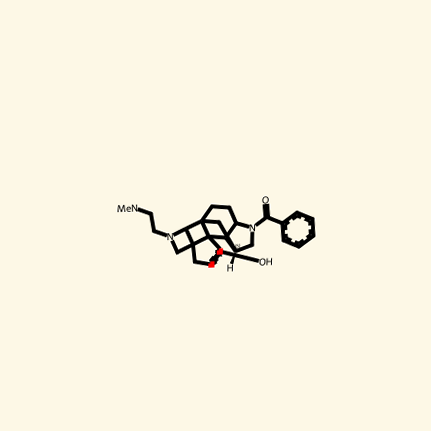 CNCCN1CC23Cc4ccc(O)cc4C24C2C5CCC4(C[C@@H]2CN5C(=O)c2ccccc2)C13